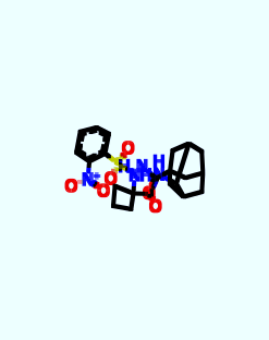 NC(=O)C12CC3CC(C1)C(NC(=O)C1(NS(=O)(=O)c4ccccc4[N+](=O)[O-])CCC1)C(C3)C2